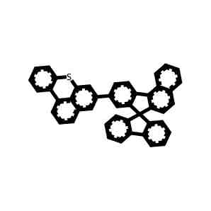 c1ccc2c(c1)Sc1cc(-c3ccc4c(c3)C3(c5ccccc5-c5ccccc53)c3ccc5ccccc5c3-4)cc3cccc-2c13